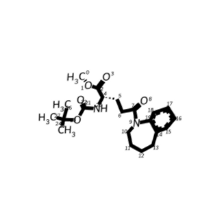 COC(=O)[C@H](CCC(=O)N1CCCCc2ccccc21)NC(=O)OC(C)(C)C